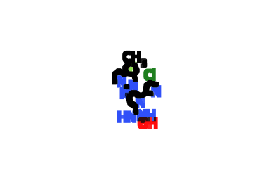 CC1CCC(Cn2c(N3CCC[C@H]3CF)nc3cc(C(=N)NO)nc(-c4cncc(Cl)c4)c32)CC1